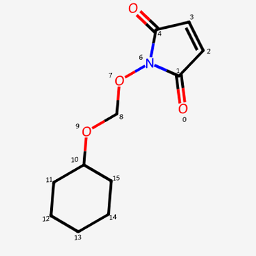 O=C1C=CC(=O)N1OCOC1CCCCC1